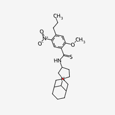 CCCc1cc(OC)c(C(=S)NC2CCN(C3C4CCCC3CCC4)C2)cc1[N+](=O)[O-]